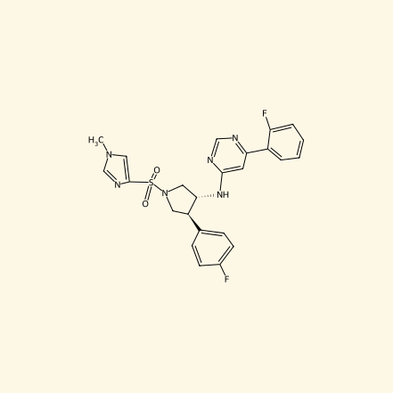 Cn1cnc(S(=O)(=O)N2C[C@H](Nc3cc(-c4ccccc4F)ncn3)[C@@H](c3ccc(F)cc3)C2)c1